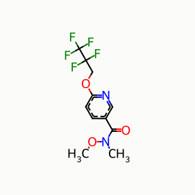 CON(C)C(=O)c1ccc(OCC(F)(F)C(F)(F)F)nc1